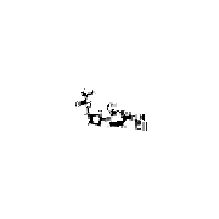 CC(C)C(=O)OCC1CCC(n2ccc(NO)nc2=O)O1